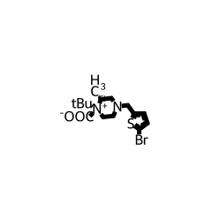 C[C@H]1CN(Cc2ccc(Br)s2)CC[N+]1(C(=O)[O-])C(C)(C)C